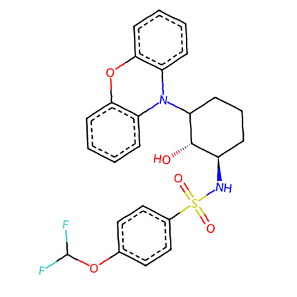 O=S(=O)(N[C@@H]1CCCC(N2c3ccccc3Oc3ccccc32)[C@H]1O)c1ccc(OC(F)F)cc1